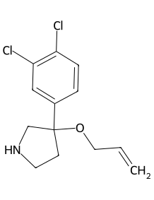 C=CCOC1(c2ccc(Cl)c(Cl)c2)CCNC1